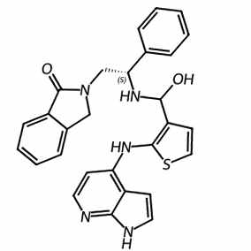 O=C1c2ccccc2CN1C[C@@H](NC(O)c1ccsc1Nc1ccnc2[nH]ccc12)c1ccccc1